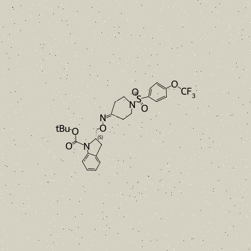 CC(C)(C)OC(=O)N1c2ccccc2C[C@H]1CON=C1CCN(S(=O)(=O)c2ccc(OC(F)(F)F)cc2)CC1